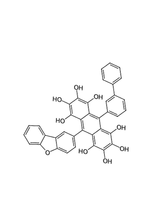 Oc1c(O)c(O)c2c(-c3ccc4oc5ccccc5c4c3)c3c(O)c(O)c(O)c(O)c3c(-c3cccc(-c4ccccc4)c3)c2c1O